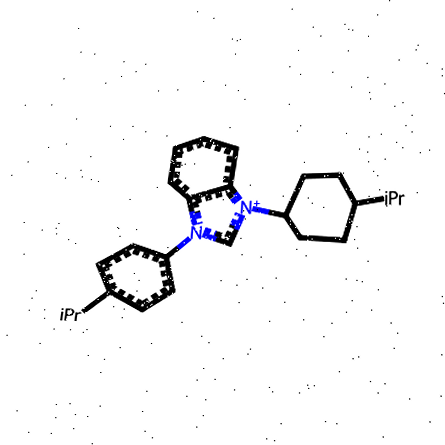 CC(C)c1ccc(-n2c[n+](C3CCC(C(C)C)CC3)c3ccccc32)cc1